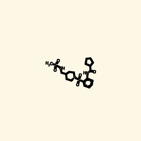 CS(=O)(=O)NCC1CCN(S(=O)(=O)c2ccccc2NC(=O)C2CCCC2)CC1